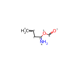 C=CC[C@H](N)OC=O